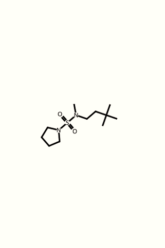 CN(CCC(C)(C)C)S(=O)(=O)N1CCCC1